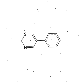 C1=NCSC=C1c1ccccc1